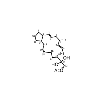 CC/C=C/[C@@H](C)C/C=C/[C@H]1CCC[C@@H]1C/C=C\CCCC(O)(O)COC(C)=O